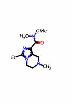 CCc1nc(C(=O)N(C)OC)c2n1CCN(C)C2